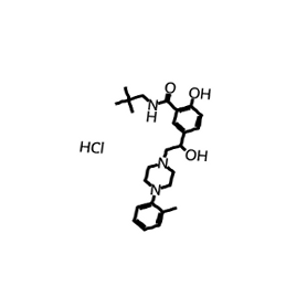 Cc1ccccc1N1CCN(CC(O)c2ccc(O)c(C(=O)NCC(C)(C)C)c2)CC1.Cl